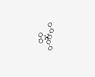 c1ccc(-c2ccc(-c3nc(-c4cccc(-c5ccccc5)c4)nc(-c4cccc5sc6cccc(-c7nc8ccccc8s7)c6c45)n3)cc2)cc1